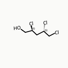 OC[C@@H](Cl)C[C@H](Cl)CCl